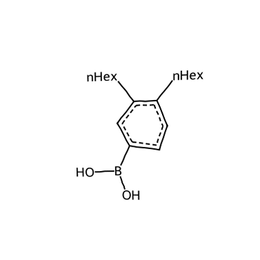 CCCCCCc1ccc(B(O)O)cc1CCCCCC